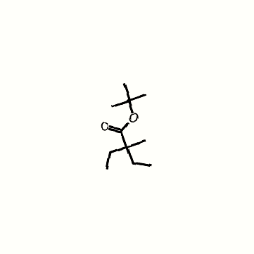 CCC(C)(CC)C(=O)OC(C)(C)C